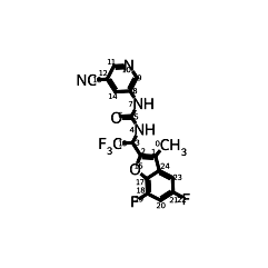 Cc1c(C(NC(=O)Nc2cncc(C#N)c2)C(F)(F)F)oc2c(F)cc(F)cc12